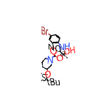 CC(C)(C)[Si](C)(C)OC1CCCN(C(=O)O[C@@](C)(O)CNc2ccc(Br)cc2[N+](=O)[O-])C1